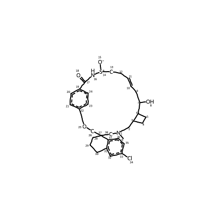 CN1CC2CCC2C(O)C/C=C/CC[S+]([O-])NC(=O)c2ccc(cc2)OCC2(CCCc3cc(Cl)ccc32)C1